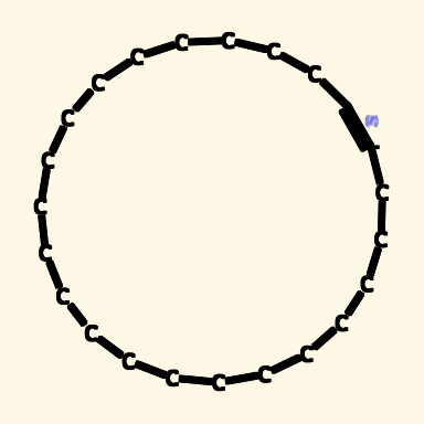 [C]1=C\CCCCCCCCCCCCCCCCCCCCC/1